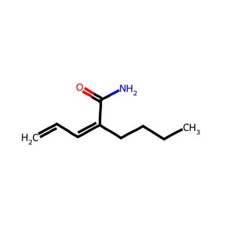 C=CC=C(CCCC)C(N)=O